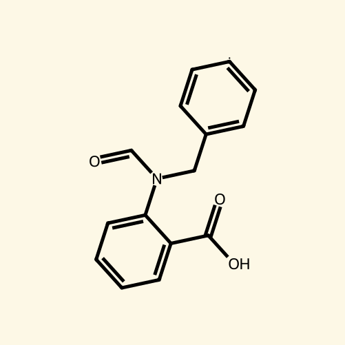 O=CN(Cc1cc[c]cc1)c1ccccc1C(=O)O